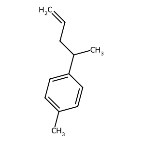 C=CCC(C)c1ccc(C)cc1